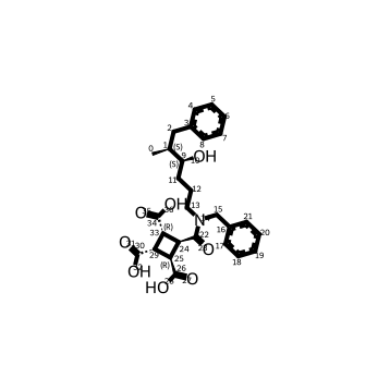 C[C@@H](Cc1ccccc1)[C@@H](O)CCCN(Cc1ccccc1)C(=O)[C@H]1[C@@H](C(=O)O)[C@H](C(=O)O)[C@@H]1C(=O)O